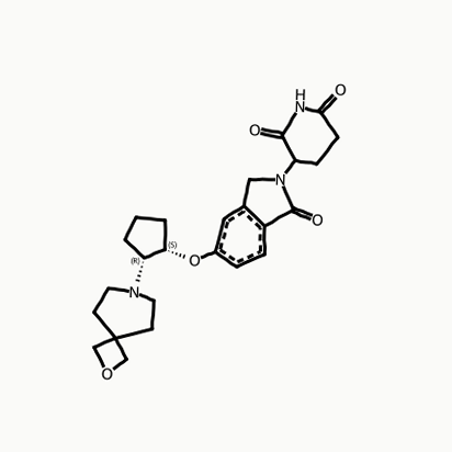 O=C1CCC(N2Cc3cc(O[C@H]4CCC[C@H]4N4CCC5(CC4)COC5)ccc3C2=O)C(=O)N1